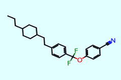 CCCC1CCC(CCc2ccc(C(F)(F)Oc3ccc(C#N)cc3)cc2)CC1